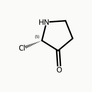 O=C1CCN[C@H]1Cl